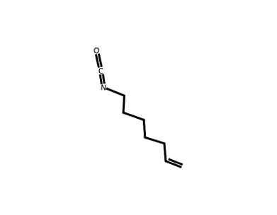 C=CCCCCCN=C=O